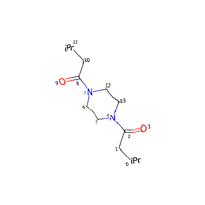 CC(C)CC(=O)N1CCN(C(=O)CC(C)C)CC1